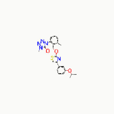 Cc1cccc(-n2nnn(C)c2=O)c1COc1nc(-c2cccc(OC(C)C)c2)cs1